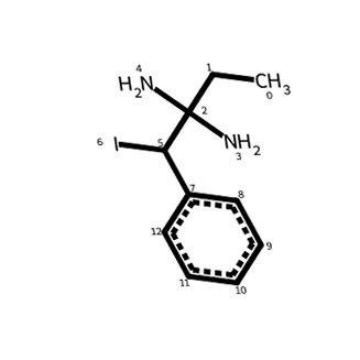 CCC(N)(N)C(I)c1ccccc1